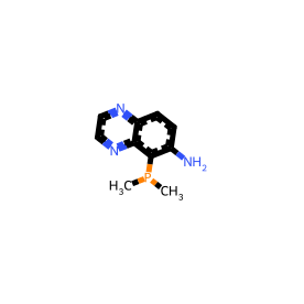 CP(C)c1c(N)ccc2nccnc12